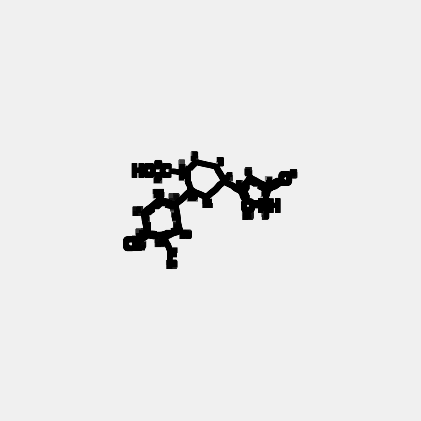 O=C(O)N1CCC(c2cc(=O)[nH]o2)CC1c1ccc(Cl)c(F)c1